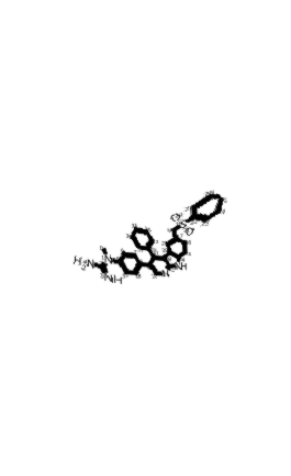 CN(C(=N)N)c1ccc(-c2cnc3[nH]c4ccc(CS(=O)(=O)c5ccccc5)cc4c3c2-c2ccccc2)cc1